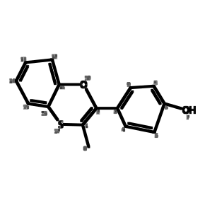 CC1=C(c2ccc(O)cc2)Oc2ccccc2S1